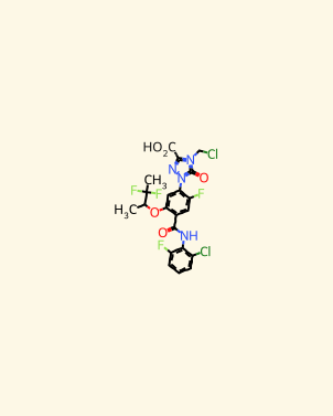 CC(Oc1cc(-n2nc(C(=O)O)n(CCl)c2=O)c(F)cc1C(=O)Nc1c(F)cccc1Cl)C(C)(F)F